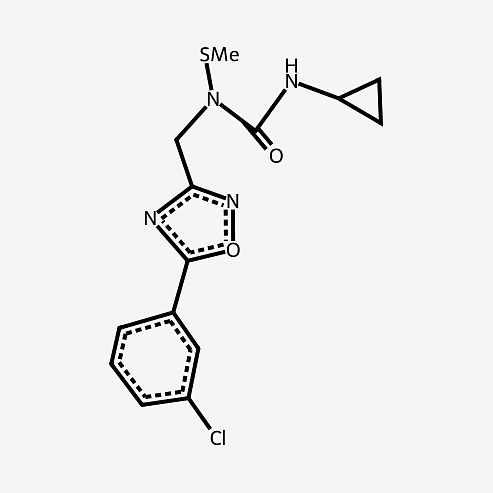 CSN(Cc1noc(-c2cccc(Cl)c2)n1)C(=O)NC1CC1